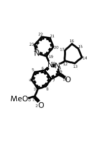 COC(=O)c1ccc2c(c1)c(=O)n(C1CCCCC1)n2-c1ccccn1